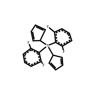 Fc1cccc(F)[c]1[Ti]([c]1c(F)cccc1F)([CH]1C=CC=C1)[CH]1C=CC=C1